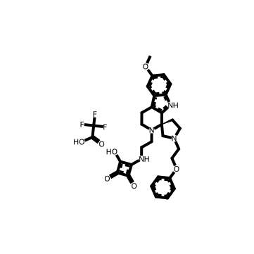 COc1ccc2[nH]c3c(c2c1)CCN(CCNc1c(O)c(=O)c1=O)[C@]31CCN(CCOc2ccccc2)C1.O=C(O)C(F)(F)F